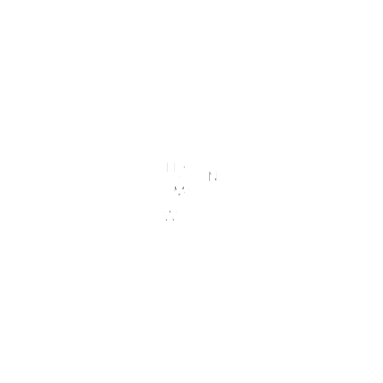 O.[Mn].[Ni].[W]